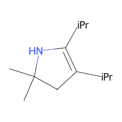 CC(C)C1=C(C(C)C)NC(C)(C)C1